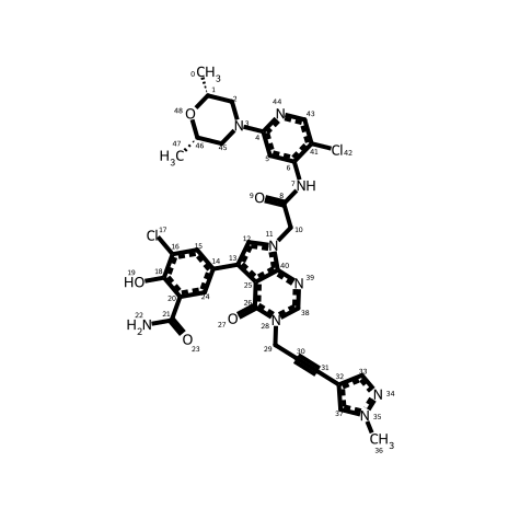 C[C@@H]1CN(c2cc(NC(=O)Cn3cc(-c4cc(Cl)c(O)c(C(N)=O)c4)c4c(=O)n(CC#Cc5cnn(C)c5)cnc43)c(Cl)cn2)C[C@H](C)O1